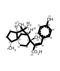 C[C@@H]1CC[C@H]2C(C)(C)[C@H]3C[C@@]12CC[C@@]3(C)/C(=C\c1ccc(O)cc1)C(=O)O